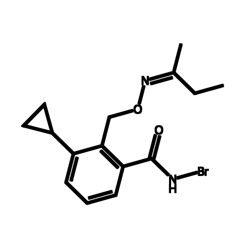 CCC(C)=NOCc1c(C(=O)NBr)cccc1C1CC1